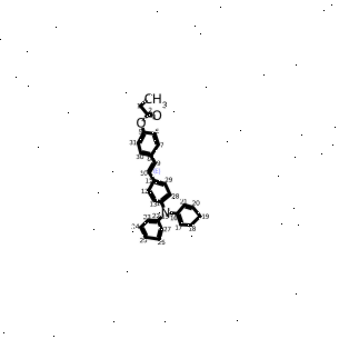 CCC(=O)Oc1ccc(/C=C/c2ccc(N(C3=CCCC=C3)c3ccccc3)cc2)cc1